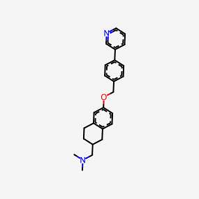 CN(C)CC1CCc2cc(OCc3ccc(-c4cccnc4)cc3)ccc2C1